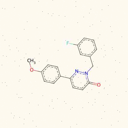 COc1ccc(-c2ccc(=O)n(Cc3cccc(F)c3)n2)cc1